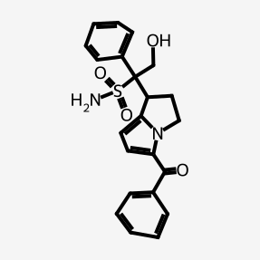 NS(=O)(=O)C(CO)(c1ccccc1)C1CCn2c(C(=O)c3ccccc3)ccc21